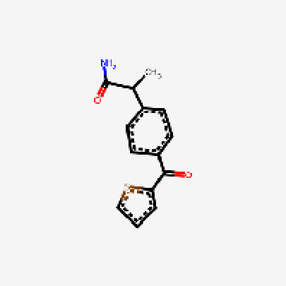 CC(C(N)=O)c1ccc(C(=O)c2cccs2)cc1